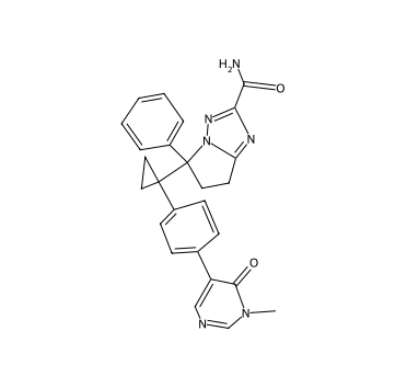 Cn1cncc(-c2ccc(C3(C4(c5ccccc5)CCc5nc(C(N)=O)nn54)CC3)cc2)c1=O